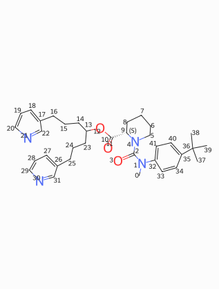 CN(C(=O)N1CCCC[C@H]1C(=O)OC(CCCc1cccnc1)CCCc1cccnc1)c1ccc(C(C)(C)C)cc1